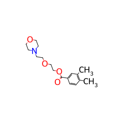 Cc1ccc(C(=O)OCCOCCN2CCOCC2)cc1C